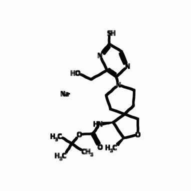 C[C@@H]1OCC2(CCN(c3ncc(S)nc3CO)CC2)[C@@H]1NC(=O)OC(C)(C)C.[Na]